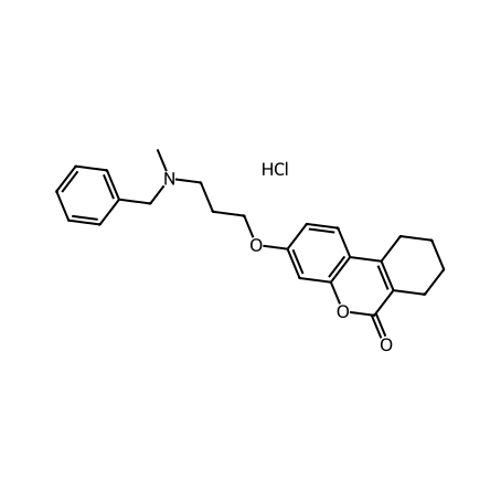 CN(CCCOc1ccc2c3c(c(=O)oc2c1)CCCC3)Cc1ccccc1.Cl